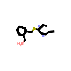 BCc1ccccc1CSC(/C=C\C=C)=C/C